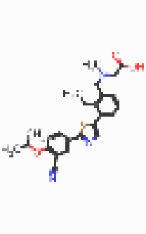 CCc1c(CN(C)CC(=O)O)cccc1-c1cnc(-c2ccc(OC(C)C)c(C#N)c2)s1